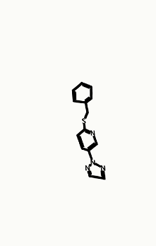 c1ccc(CSc2ccc(-n3nccn3)cn2)cc1